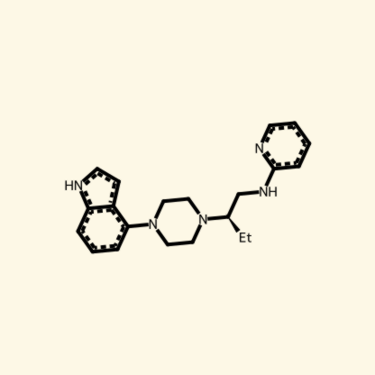 CC[C@H](CNc1ccccn1)N1CCN(c2cccc3[nH]ccc23)CC1